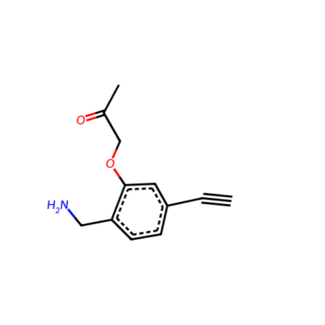 C#Cc1ccc(CN)c(OCC(C)=O)c1